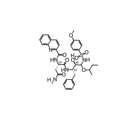 CCC(C)OC(NS(=O)(=O)c1ccc(OC)cc1)[C@H](O)[C@H](Cc1ccccc1)NC(=O)[C@H](CC(N)=O)NC(=O)c1ccc2ccccc2n1